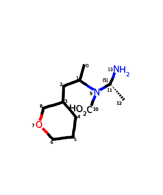 CC(CC1CCCOC1)N(C(=O)O)[C@@H](C)N